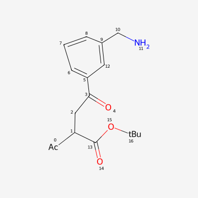 CC(=O)C(CC(=O)c1cccc(CN)c1)C(=O)OC(C)(C)C